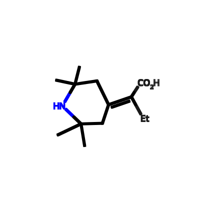 CCC(C(=O)O)=C1CC(C)(C)NC(C)(C)C1